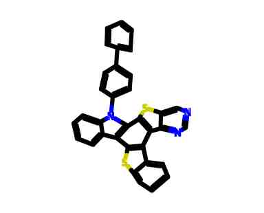 c1ccc(-c2ccc(-n3c4ccccc4c4c5sc6ccccc6c5c5c6ncncc6sc5c43)cc2)cc1